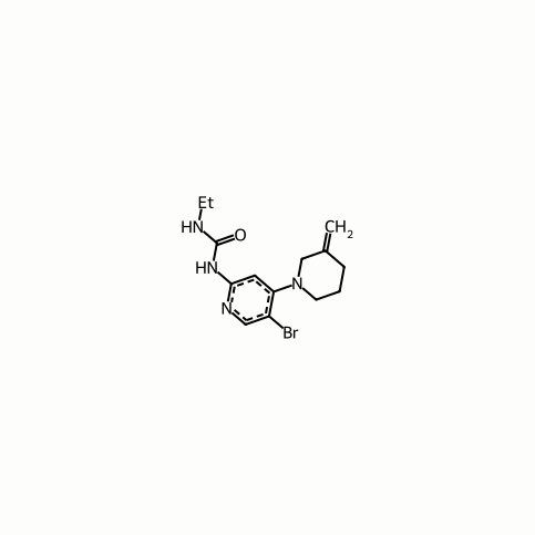 C=C1CCCN(c2cc(NC(=O)NCC)ncc2Br)C1